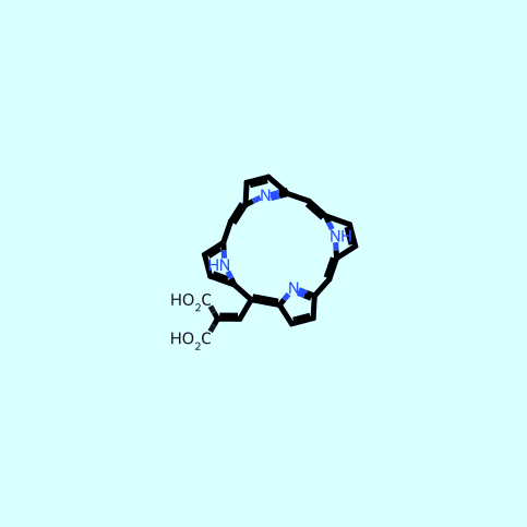 O=C(O)C(=Cc1c2nc(cc3ccc(cc4nc(cc5ccc1[nH]5)C=C4)[nH]3)C=C2)C(=O)O